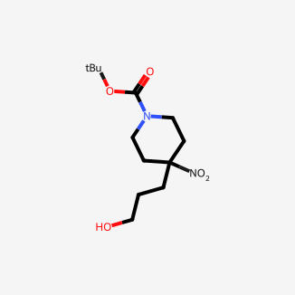 CC(C)(C)OC(=O)N1CCC(CCCO)([N+](=O)[O-])CC1